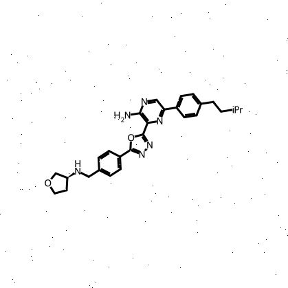 CC(C)CCc1ccc(-c2cnc(N)c(-c3nnc(-c4ccc(CN[C@H]5CCOC5)cc4)o3)n2)cc1